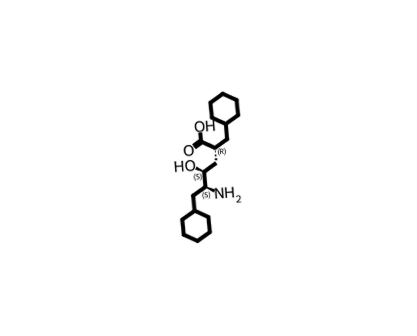 N[C@@H](CC1CCCCC1)[C@@H](O)C[C@@H](CC1CCCCC1)C(=O)O